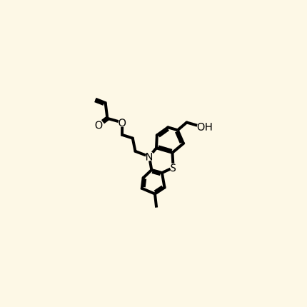 C=CC(=O)OCCCN1c2ccc(C)cc2Sc2cc(CO)ccc21